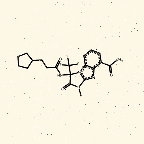 CN1C(=O)C(NC(=O)CCC2CCCC2)(C(F)(F)F)n2c1nc1c(C(N)=O)cccc12